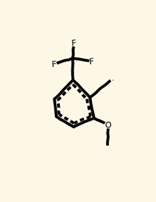 [CH2]c1c(OC)cccc1C(F)(F)F